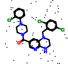 O=C(c1cnc2c(c1)N(Cc1cc(Cl)ccc1Cl)CCN2)N1CCN(c2ccccc2Cl)CC1